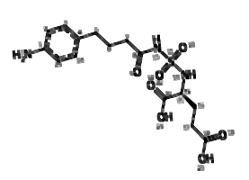 Nc1ccc(CCCC(=O)NS(=O)(=O)N[C@@H](CCC(=O)O)C(=O)O)cc1